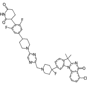 CC1(C)c2ccc(C3(F)CCN(Cc4cnc(N5CCC(c6cc(F)c(C7CCC(=O)NC7=O)c(F)c6)CC5)cn4)CC3)cc2-n2c1nc(=O)c1c(Cl)cccc12